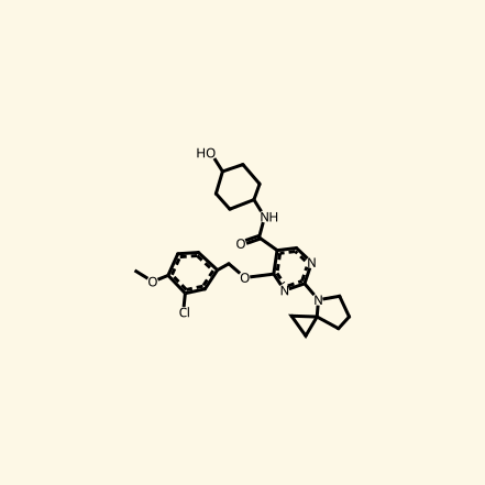 COc1ccc(COc2nc(N3CCCC34CC4)ncc2C(=O)NC2CCC(O)CC2)cc1Cl